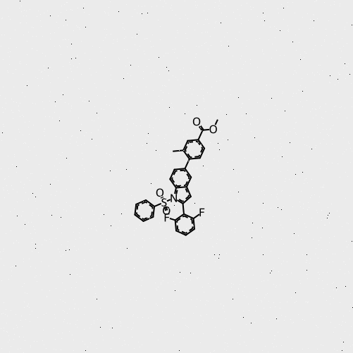 COC(=O)c1ccc(-c2ccc3c(c2)cc(-c2c(F)cccc2F)n3S(=O)(=O)c2ccccc2)c(C)c1